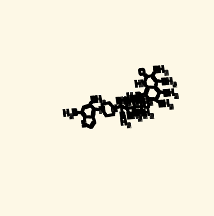 Bc1cc(B)c2sccc2c1N1CCN(C(B)(B)C(B)(B)C(B)(B)C(B)(B)Oc2c(B)c(B)c3c(B)c(B)c(=O)[nH]c3c2B)CC1